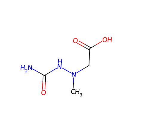 CN(CC(=O)O)NC(N)=O